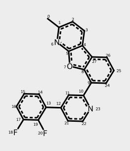 Cc1ccc2c(n1)oc1c(-c3cc(-c4cccc(F)c4F)ccn3)cccc12